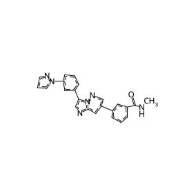 CNC(=O)c1cccc(-c2cnn3c(-c4cccc(-n5cccn5)c4)cnc3c2)c1